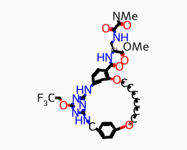 CNC(=O)C(=O)NC[C@H](NC(=O)c1ccc2cc1OCCCCCCOc1ccc(cc1)CNc1nc(nc(OCC(F)(F)F)n1)N2)C(=O)OC